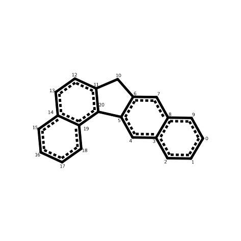 c1ccc2cc3c(cc2c1)Cc1ccc2ccccc2c1-3